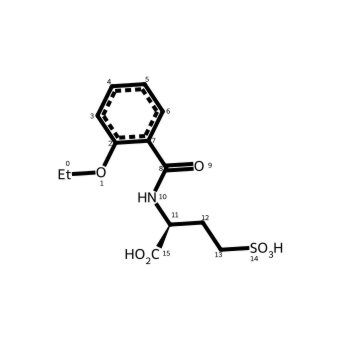 CCOc1ccccc1C(=O)N[C@@H](CCS(=O)(=O)O)C(=O)O